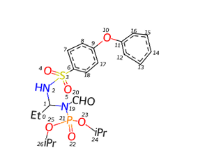 CCC(NS(=O)(=O)c1ccc(Oc2ccccc2)cc1)N(C=O)P(=O)(OC(C)C)OC(C)C